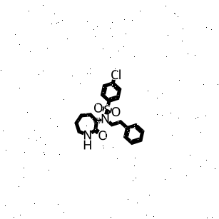 O=C1NCCCC[C@H]1N(CCc1ccccc1)S(=O)(=O)c1ccc(Cl)cc1